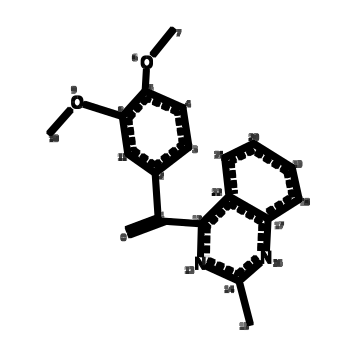 C=C(c1ccc(OC)c(OC)c1)c1nc(C)nc2ccccc12